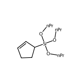 CCCO[Si](OCCC)(OCCC)C1C=CCC1